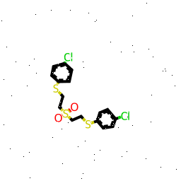 O=S(=O)(CCSc1ccc(Cl)cc1)CCSc1ccc(Cl)cc1